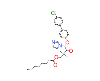 CCCCCCCC(=O)OCC(C)(C)C(=O)C(Oc1ccc(-c2ccc(Cl)cc2)cc1)n1ccnc1